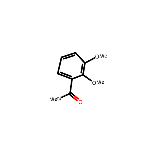 CNC(=O)c1cccc(OC)c1OC